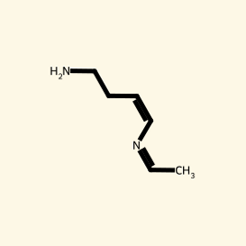 C/C=N\C=C/CCN